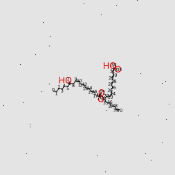 CCCCCCC(O)C/C=C\CCCCCCCC(=O)O[C@@H](C/C=C\CCCCCCCC(=O)O)CCCCCC